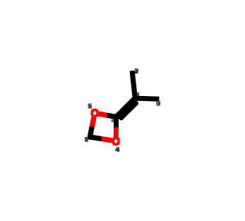 CC(C)=C1OCO1